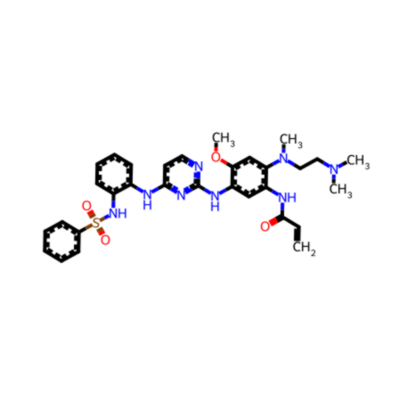 C=CC(=O)Nc1cc(Nc2nccc(Nc3ccccc3NS(=O)(=O)c3ccccc3)n2)c(OC)cc1N(C)CCN(C)C